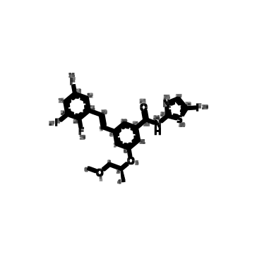 COC[C@H](C)Oc1cc(C=Cc2cc(F)cc(F)c2F)cc(C(=O)Nc2ncc(F)s2)c1